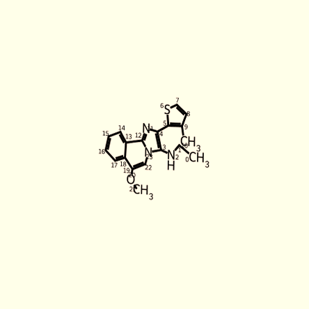 CCNc1c(-c2sccc2C)nc2c3ccccc3c(OC)cn12